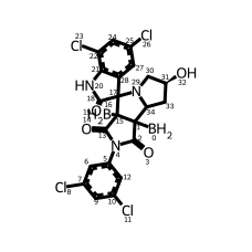 BC12C(=O)N(c3cc(Cl)cc(Cl)c3)C(=O)C1(B)C1(C(=O)Nc3c(Cl)cc(Cl)cc31)N1C[C@@H](O)CC12